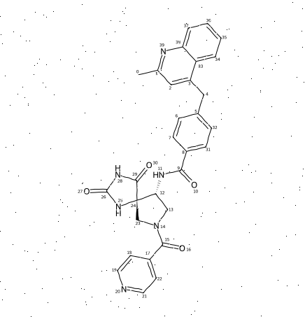 Cc1cc(Cc2ccc(C(=O)N[C@@H]3CN(C(=O)c4ccncc4)C[C@]34NC(=O)NC4=O)cc2)c2ccccc2n1